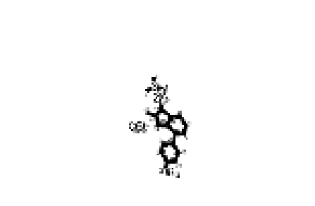 CCCCc1ccc(-c2cccc3c2C=C(C)[CH]3[Zr+2][O][SiH](C)C)cc1.[Cl-].[Cl-]